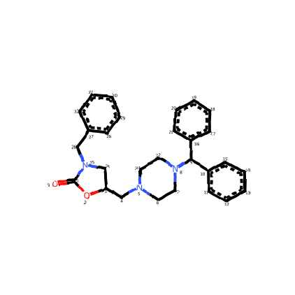 O=C1OC(CN2CCN(C(c3ccccc3)c3ccccc3)CC2)CN1Cc1ccccc1